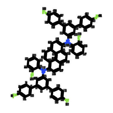 Fc1ccc(-c2cc(-c3ccc(F)cc3)cc(N(c3ccccc3F)c3ccc4ccc5c(N(c6cc(-c7ccc(F)cc7)cc(-c7ccc(F)cc7)c6)c6ccccc6F)ccc6ccc3c4c65)c2)cc1